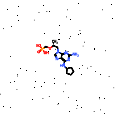 C[C@H](Cn1cnc2c(NC3CCCC3)nc(N)nc21)OCP(=O)(O)O